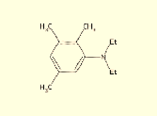 CCN(CC)c1cc(C)cc(C)c1C